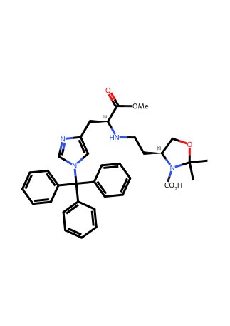 COC(=O)[C@H](Cc1cn(C(c2ccccc2)(c2ccccc2)c2ccccc2)cn1)NCC[C@H]1COC(C)(C)N1C(=O)O